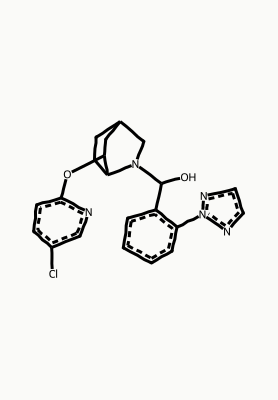 OC(c1ccccc1-n1nccn1)N1CC2CCC1C(Oc1ccc(Cl)cn1)C2